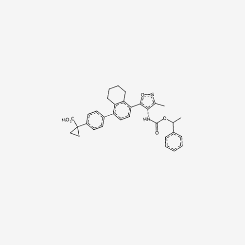 Cc1noc(-c2ccc(-c3ccc(C4(C(=O)O)CC4)cc3)c3c2CCCC3)c1NC(=O)OC(C)c1ccccc1